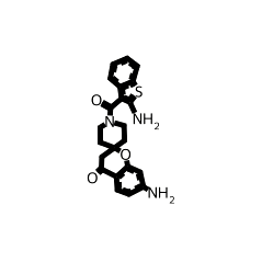 Nc1ccc2c(c1)OC1(CCN(C(=O)c3c(N)sc4ccccc34)CC1)CC2=O